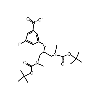 CN(CC(CN(C)C(=O)OC(C)(C)C)Oc1cc(F)cc([N+](=O)[O-])c1)C(=O)OC(C)(C)C